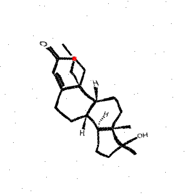 COC[C@]12CCC(=O)C=C1CC[C@@H]1[C@H]2CC[C@@]2(C)[C@H]1CCC2(C)O